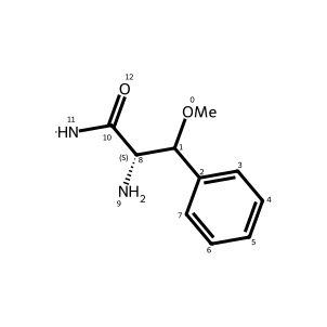 COC(c1ccccc1)[C@H](N)C([NH])=O